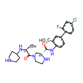 CC(C)(C)[C@H](NC1CCNCC1)C(=O)N1CCN[C@@H](C(=O)Nc2ccc(-c3ccc(Cl)cc3F)cc2C(=O)O)C1